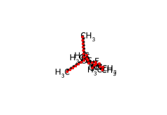 CCCCCCCCCCCCO/C(=C(/SC)c1ccc(-c2cc(F)c(-c3ccc(C(C)(CC)CC)s3)c3nsnc23)s1)C(C)OCCCCCCCCCCCC